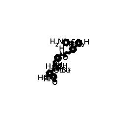 CC(C)(C)[Si](C)(C)O[C@H](CNCc1ccc(NC(=O)CCc2ccc(-c3ccccc3)c(N(C(=O)O)C3CCC(N)CC3)c2)cc1)c1ccc(O)c2[nH]c(=O)ccc12